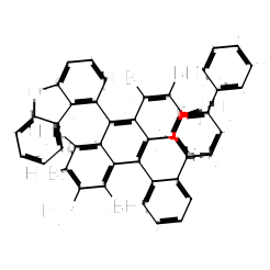 Bc1c(B)c(B)c2c(-c3cccc4oc5ccccc5c34)c3c(B)c(B)c(B)c(B)c3c(-c3ccccc3-c3ccc(-c4ccccc4)cc3)c2c1B